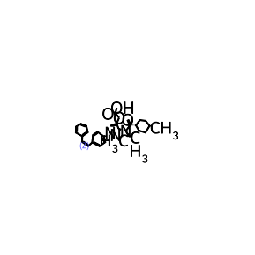 CC(C)N(c1nn(-c2ccc(/C=C\c3ccccc3)cc2)cc1OC(=O)O)C(=O)[C@H]1CC[C@H](C)CC1